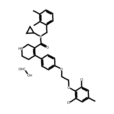 Cc1cc(Cl)c(OCCOc2ccc(C3=C(C(=O)N(Cc4cccc(C)c4C)C4CC4)CNCC3)cc2)c(Cl)c1.O=CO